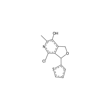 Cc1nc(Cl)c2c(c1O)COC2c1cccs1